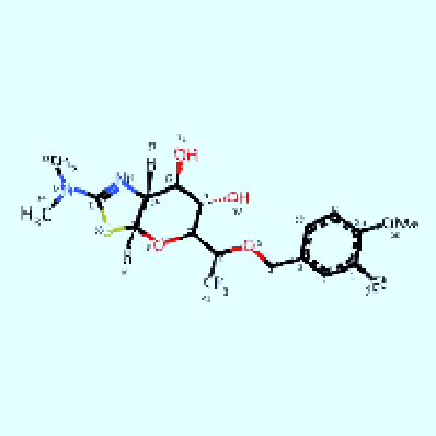 CCc1cc(CO[C@H](C2O[C@@H]3SC(N(C)C)=N[C@@H]3[C@@H](O)[C@@H]2O)C(F)(F)F)ccc1OC